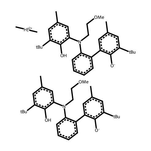 COCCN(c1ccccc1-c1cc(C)cc(C(C)(C)C)c1[O-])c1cc(C)cc(C(C)(C)C)c1O.COCCN(c1ccccc1-c1cc(C)cc(C(C)(C)C)c1[O-])c1cc(C)cc(C(C)(C)C)c1O.[CH3][Hf+2][CH3]